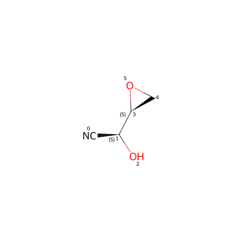 N#C[C@H](O)[C@@H]1CO1